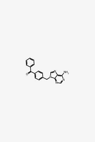 Nc1ncnc2c1ncn2Cc1ccc(C(=O)c2ccccc2)cc1